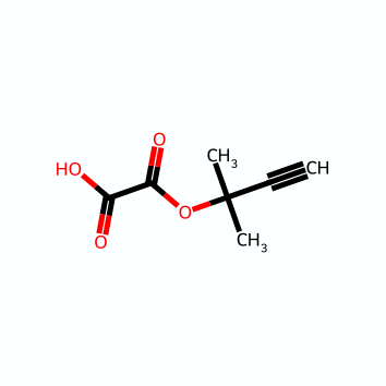 C#CC(C)(C)OC(=O)C(=O)O